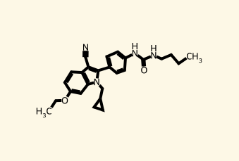 CCCCNC(=O)Nc1ccc(-c2c(C#N)c3ccc(OCC)cc3n2CC2CC2)cc1